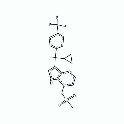 CC(c1ccc(C(F)(F)F)cc1)(c1c[nH]c2c(CS(C)(=O)=O)cccc12)C1CC1